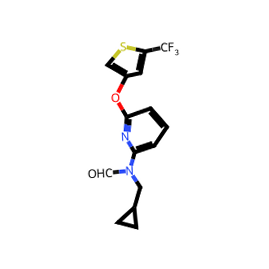 O=CN(CC1CC1)c1cccc(Oc2csc(C(F)(F)F)c2)n1